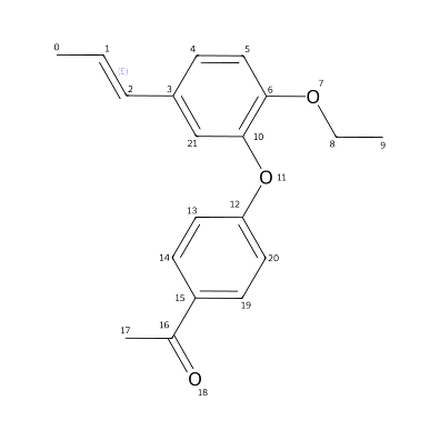 C/C=C/c1ccc(OCC)c(Oc2ccc(C(C)=O)cc2)c1